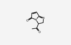 CC(=O)C1CN=C2C=CC(=O)N21